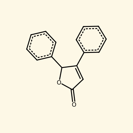 O=C1C=C(c2ccccc2)C(c2ccccc2)O1